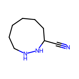 N#CC1CCCCCCNN1